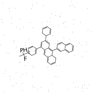 CC(F)(P)C1C=CC(c2cc(C3C=CC=CC3)cc3c2=CC2=CC=CCC2C=3c2ccc3ccccc3c2)=CC1